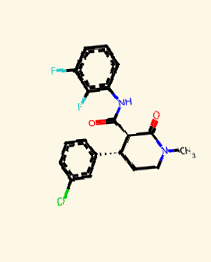 CN1CC[C@H](c2cccc(Cl)c2)[C@@H](C(=O)Nc2cccc(F)c2F)C1=O